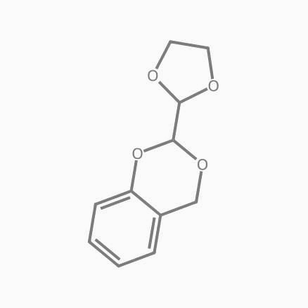 c1ccc2c(c1)COC(C1OCCO1)O2